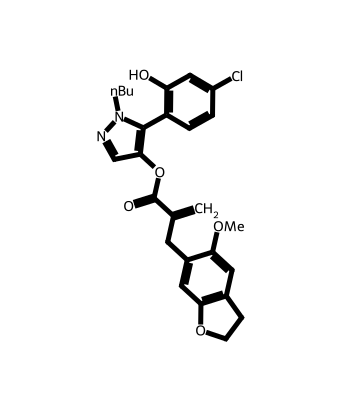 C=C(Cc1cc2c(cc1OC)CCO2)C(=O)Oc1cnn(CCCC)c1-c1ccc(Cl)cc1O